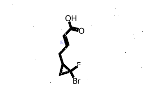 O=C(O)/C=C/CC1CC1(F)Br